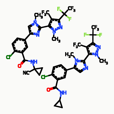 Cn1cc(-c2ccc(Cl)c(C(=O)NC3(C#N)CC3)c2)nc1-c1c(C(F)(F)F)c(C(F)(F)C(F)(F)F)nn1C.Cn1nc(C(F)(F)C(F)(F)F)c(C(F)(F)F)c1-c1ncc(-c2ccc(Cl)c(C(=O)NC3CC3)c2)n1C